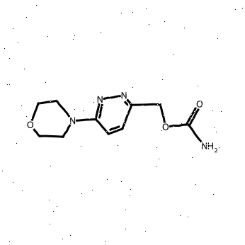 NC(=O)OCc1ccc(N2CCOCC2)nn1